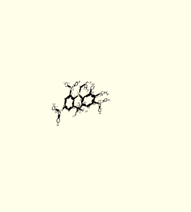 CCN(c1c([N+](=O)[O-])cc([N+](=O)[O-])cc1C(F)(F)F)c1c(Cl)cc([N+](=O)[O-])c(C)c1Cl